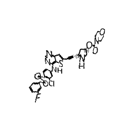 O=C(O[C@@H]1CN[C@H](C#Cc2cc3ncnc(Nc4ccc(S(=O)(=O)c5cccc(F)c5)c(Cl)c4)c3s2)C1)N1CCOCC1